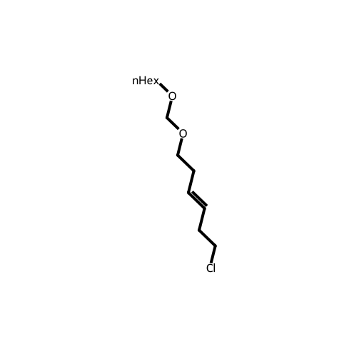 CCCCCCOCOCCC=CCCCl